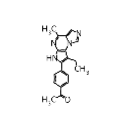 CCc1c(-c2ccc(C(C)=O)cc2)[nH]c2nc(C)c3cncn3c12